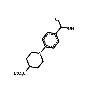 CCOC(=O)C1CCN(c2ccc(C(O)Cl)cc2)CC1